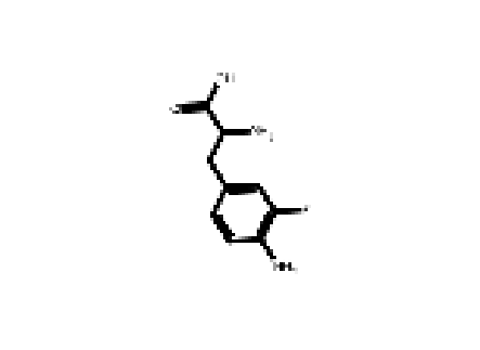 Nc1ccc(CC(N)C(=O)O)cc1F